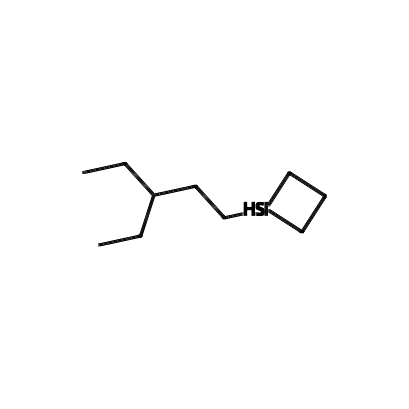 CCC(CC)CC[SiH]1CCC1